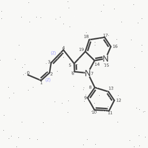 C/C=C\C=C/c1cn(-c2ccccc2)c2ncccc12